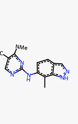 CNc1nc(Nc2ccc3cn[nH]c3c2C)ncc1C(F)(F)F